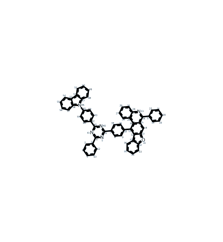 c1ccc(-c2nc(-c3ccc(-c4c5c(cc6c(-c7ccccc7)nc7ccccc7c46)oc4ccccc45)cc3)nc(-c3ccc(-n4c5ccccc5c5ccccc54)cc3)n2)cc1